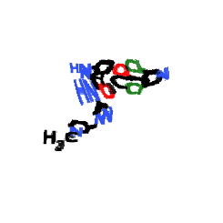 CC(Oc1ccc2[nH]nc(C(=O)Nc3cnn(CC4CCCN(C)C4)c3)c2c1)c1c(Cl)cncc1Cl